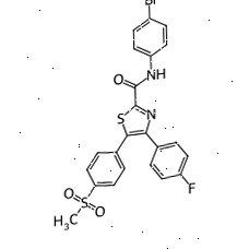 CS(=O)(=O)c1ccc(-c2sc(C(=O)Nc3ccc(Br)cc3)nc2-c2ccc(F)cc2)cc1